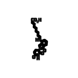 O=C(O)CCCCCCCCNc1cccc2c1CN(C1CCC(=O)NC1=O)C2=O